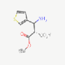 CC(C)(C)OC(=O)[C@@H](C(=O)O)C(N)c1ccsc1